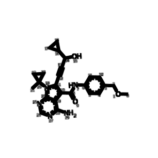 COCc1ccc(NC(=O)c2c(C#CC(O)C3CC3)n(C3(C)CC3)c3ncnc(N)c23)cc1